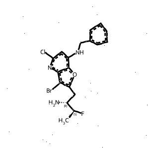 C[C@H](F)[C@H](N)Cc1oc2c(NCc3ccccc3)cc(Cl)nc2c1Br